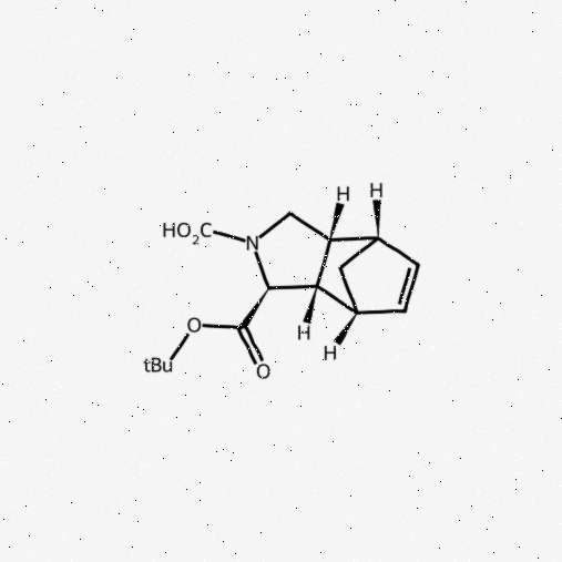 CC(C)(C)OC(=O)[C@@H]1[C@@H]2[C@H](CN1C(=O)O)[C@@H]1C=C[C@H]2C1